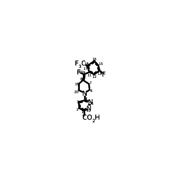 O=C(O)c1ccc(N2CCC(=C(F)c3cc(F)ccc3C(F)(F)F)CC2)nn1